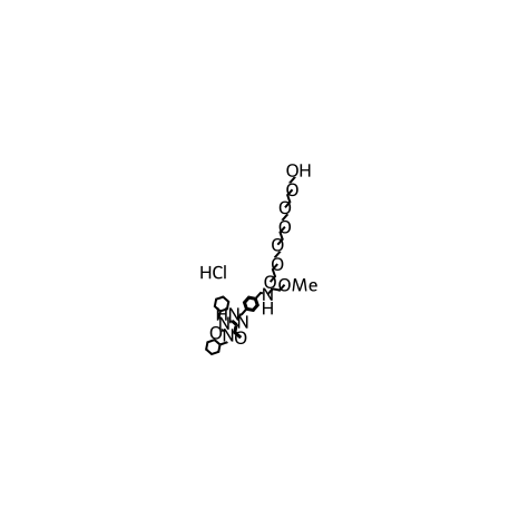 COCC(NCc1ccc(-c2nc3c(=O)n(CC4CCCCC4)c(=O)n(CC4CCCCC4)c3[nH]2)cc1)OCCOCCOCCOCCOCCOCCO.Cl